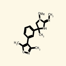 C/N=C1/NC(C)(c2cccc(-c3c(C)noc3C)c2)CN1OC